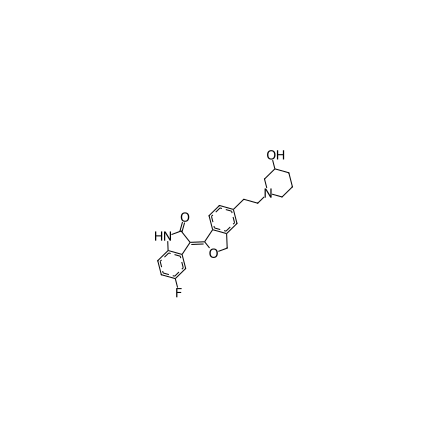 O=C1Nc2ccc(F)cc2/C1=C1\OCc2cc(CCN3CCCC(O)C3)ccc21